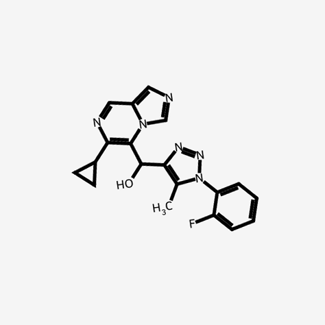 Cc1c(C(O)c2c(C3CC3)ncc3cncn23)nnn1-c1ccccc1F